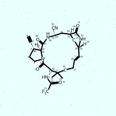 C#C[C@H]1CCN2C(=O)[C@@H](NC(=O)C(F)(F)F)C(C)(C)CC/C=C/[C@@H]3C[C@@H](C[C@@H](C#N)NC(=O)[C@H]12)C(=O)N3